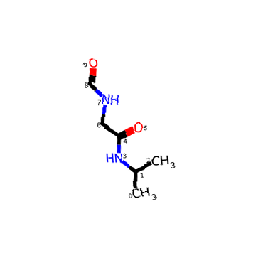 CC(C)NC(=O)CNC=O